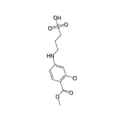 COC(=O)c1ccc(NCCCS(=O)(=O)O)cc1Cl